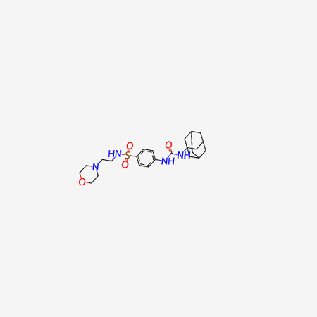 O=C(Nc1ccc(S(=O)(=O)NCCN2CCOCC2)cc1)NC12CC3CC(CC(C3)C1)C2